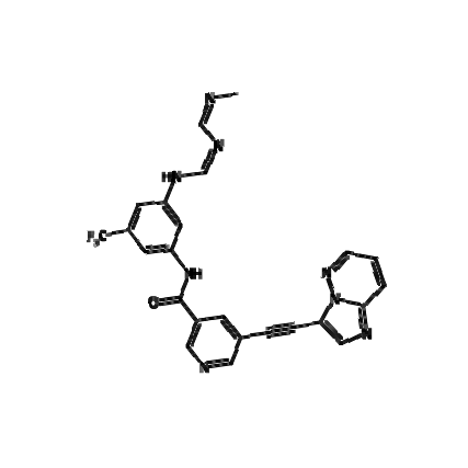 C/N=C\N=C/Nc1cc(NC(=O)c2cncc(C#Cc3cnc4cccnn34)c2)cc(C(F)(F)F)c1